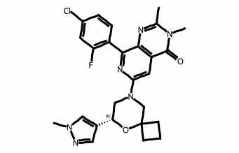 Cc1nc2c(-c3ccc(Cl)cc3F)nc(N3C[C@@H](c4cnn(C)c4)OC4(CCC4)C3)cc2c(=O)n1C